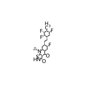 Cc1c(F)cc(C=Cc2cc3c(cc2F)c(=O)c2c(=O)[nH]sc2n3C2CC2)c(F)c1F